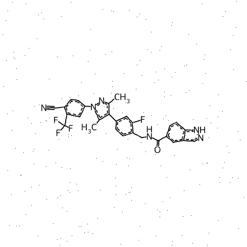 Cc1nn(-c2ccc(C#N)c(C(F)(F)F)c2)c(C)c1-c1ccc(CNC(=O)c2ccc3[nH]ncc3c2)c(F)c1